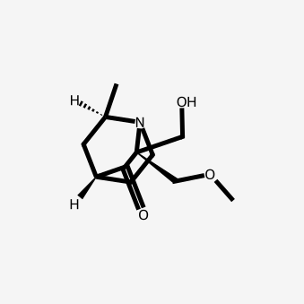 COC[C@@]1(CO)C(=O)[C@@H]2CCN1[C@H](C)C2